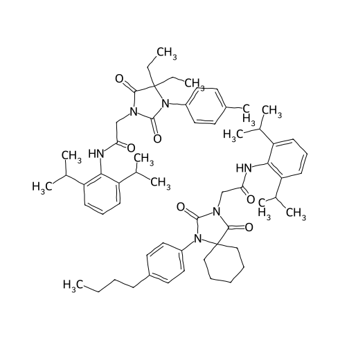 CCC1(CC)C(=O)N(CC(=O)Nc2c(C(C)C)cccc2C(C)C)C(=O)N1c1ccc(C)cc1.CCCCc1ccc(N2C(=O)N(CC(=O)Nc3c(C(C)C)cccc3C(C)C)C(=O)C23CCCCC3)cc1